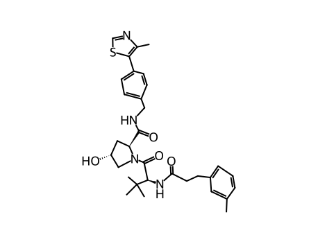 Cc1cccc(CCC(=O)N[C@H](C(=O)N2C[C@H](O)C[C@H]2C(=O)NCc2ccc(-c3scnc3C)cc2)C(C)(C)C)c1